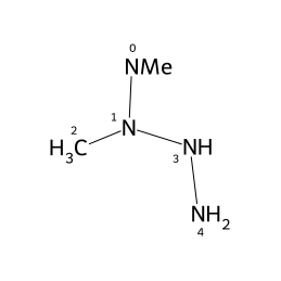 CNN(C)NN